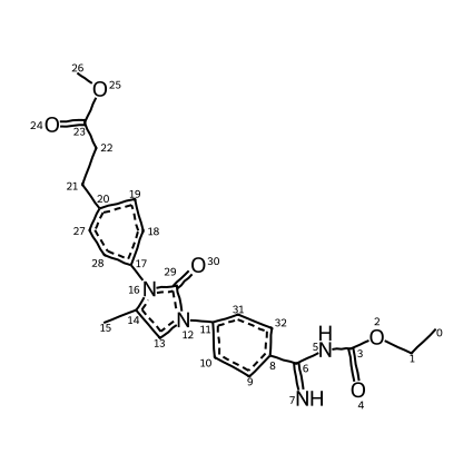 CCOC(=O)NC(=N)c1ccc(-n2cc(C)n(-c3ccc(CCC(=O)OC)cc3)c2=O)cc1